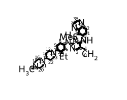 C=Cc1cnc(Nc2ccc(N3CCC(N4CCN(C)CC4)CC3)c(CC)c2)nc1Nc1ccc2nccnc2c1SC